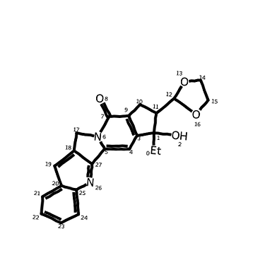 CCC1(O)c2cc3n(c(=O)c2CC1C1OCCO1)Cc1cc2ccccc2nc1-3